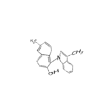 Cc1ccc2c(-n3cc(C)c4ccccc43)c(O)ccc2c1